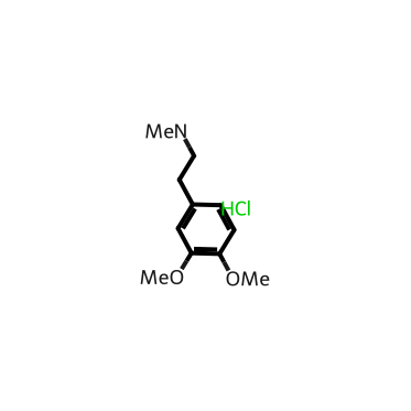 CNCCc1ccc(OC)c(OC)c1.Cl